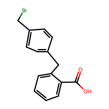 O=C(O)c1ccccc1Cc1ccc(CBr)cc1